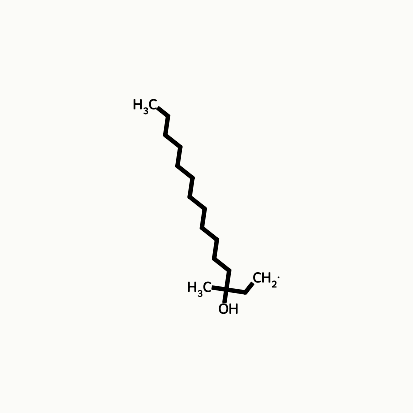 [CH2]CC(C)(O)CCCCCCCCCCCC